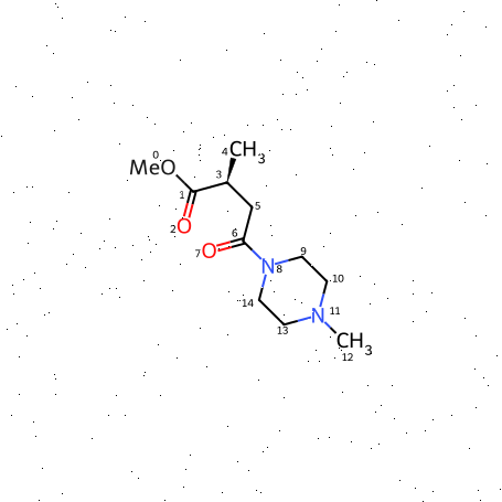 COC(=O)[C@@H](C)CC(=O)N1CCN(C)CC1